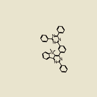 C[Si]1(C)c2ccccc2-c2nc(-c3ccccc3)nc(-c3cccc(-c4nc(-c5ccccc5)nc(-c5ccccc5)n4)c3)c21